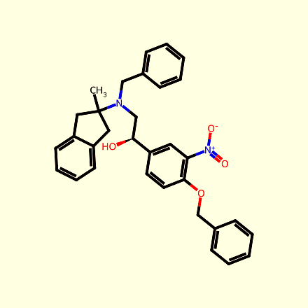 CC1(N(Cc2ccccc2)C[C@H](O)c2ccc(OCc3ccccc3)c([N+](=O)[O-])c2)Cc2ccccc2C1